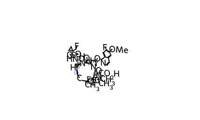 CC[C@@H]1O[C@H](C)CC/C=C\[C@@H]2C[C@@]2(C(=O)NS(=O)(=O)C2(CF)CC2)NC(=O)[C@@H]2C[C@@H](Oc3nccc4cc(OC)c(F)cc34)CN2C(=O)[C@H]1N(C(=O)O)C(C)(C)C(F)(F)F